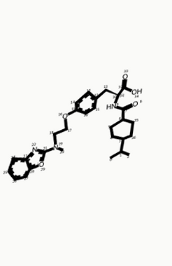 CC(C)C1CCC(C(=O)N[C@@H](Cc2ccc(OCCN(C)c3nc4ccccc4o3)cc2)C(=O)O)CC1